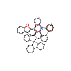 c1ccc(-c2ccccc2-c2ccccc2-c2ccccc2N(c2ccc3c(c2)-c2ccccc2C3(c2ccccc2)c2ccccc2)c2ccccc2-c2cccc3c2oc2ccccc23)cc1